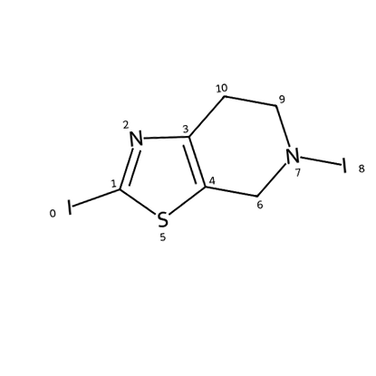 Ic1nc2c(s1)CN(I)CC2